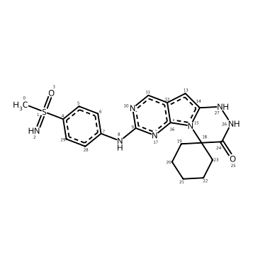 CS(=N)(=O)c1ccc(Nc2ncc3cc4n(c3n2)C2(CCCCC2)C(=O)NN4)cc1